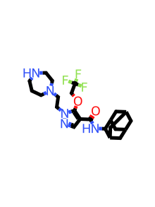 O=C(NC1C2CC3CC(C2)CC1C3)c1cnn(CCN2CCCNCC2)c1OCC(F)(F)F